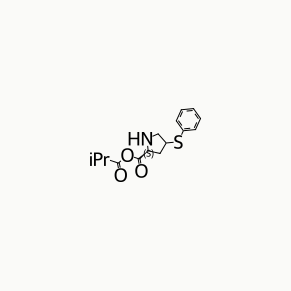 CC(C)C(=O)OC(=O)[C@@H]1CC(Sc2ccccc2)CN1